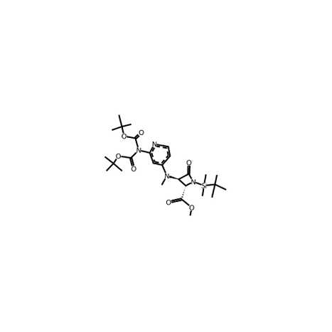 COC(=O)[C@@H]1[C@@H](N(C)c2ccnc(N(C(=O)OC(C)(C)C)C(=O)OC(C)(C)C)c2)C(=O)N1[Si](C)(C)C(C)(C)C